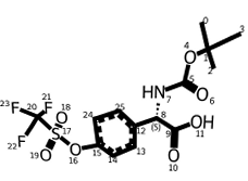 CC(C)(C)OC(=O)N[C@H](C(=O)O)c1ccc(OS(=O)(=O)C(F)(F)F)cc1